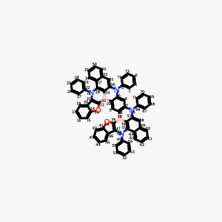 c1ccc(N2c3cc4c(cc3B3c5oc6ccccc6c5N(c5ccccc5)c5c3c2cc2ccccc52)B2c3oc5ccccc5c3N(c3ccccc3)c3c2c(cc2ccccc32)N4c2ccccc2)cc1